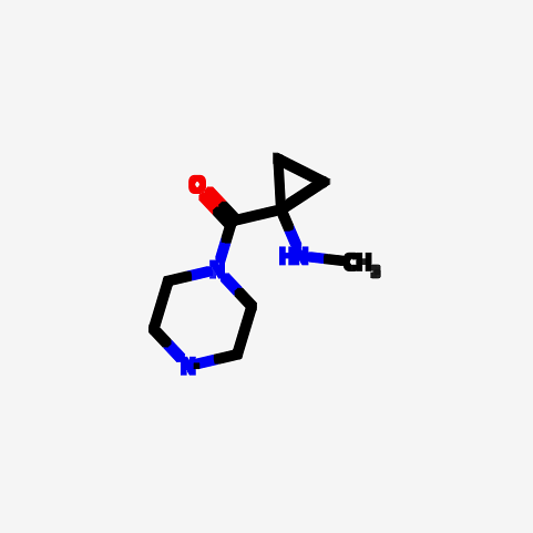 CNC1(C(=O)N2CC[N]CC2)CC1